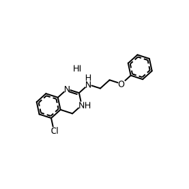 Clc1cccc2c1CNC(NCCOc1ccccc1)=N2.I